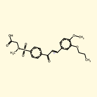 CCCOc1cc(/C=C/C(=O)c2ccc(S(=O)(=O)N(C)CC(=O)O)cc2)ccc1OC